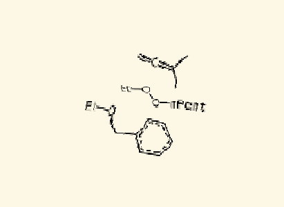 C=C=C(C)C.CCCCCOOCC.CCOCc1ccccc1